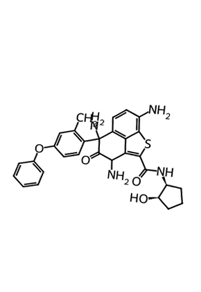 Cc1cc(Oc2ccccc2)ccc1C1(N)C(=O)C(N)c2c(C(=O)N[C@H]3CCC[C@H]3O)sc3c(N)ccc1c23